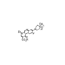 CCn1cc(C(=O)O)c(=O)c2c3cc(F)c(N4CCC(C)(O)CC4)cc3ncc21